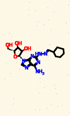 Nc1nc(N/N=C/C2CCCCC2)nc2c1ncn2[C@@H]1O[C@H](CO)[C@@H](O)[C@H]1O